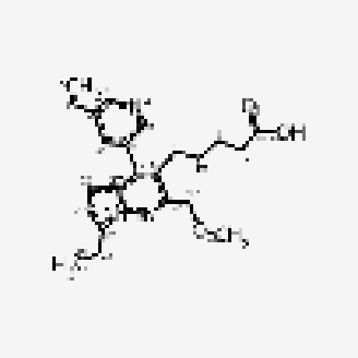 C=Cc1cncc(-c2c(CCCCC(=O)O)c(COC)nn3c(CC)ccc23)c1